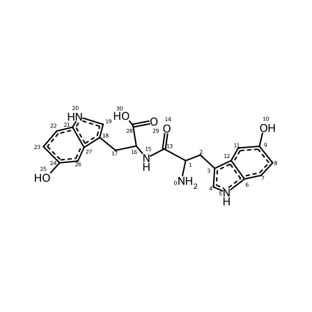 NC(Cc1c[nH]c2ccc(O)cc12)C(=O)NC(Cc1c[nH]c2ccc(O)cc12)C(=O)O